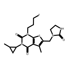 Cc1c(CN2CCNC2=O)sc2c1c(=O)n(C1CC1C)c(=O)n2CCCF